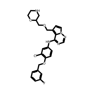 Fc1cccc(COc2ccc(Nc3ncnn4ccc(COCC5CNCCO5)c34)cc2Cl)c1